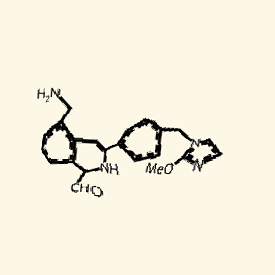 COc1nccn1Cc1ccc(C2=Cc3c(CN)cccc3C(C=O)N2)cc1